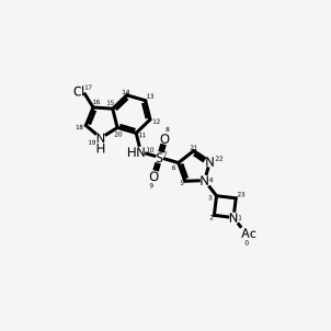 CC(=O)N1CC(n2cc(S(=O)(=O)Nc3cccc4c(Cl)c[nH]c34)cn2)C1